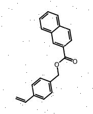 C=Cc1ccc(COC(=O)c2ccc3ccccc3c2)cc1